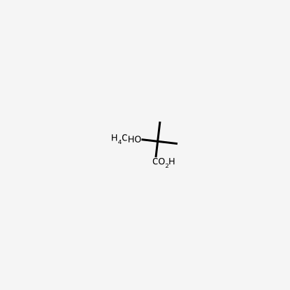 C.CC(C)(O)C(=O)O